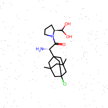 CC12CC3(C)CC(Cl)(C1)CC([C@H](N)C(=O)N1CCC[C@H]1C(O)O)(C2)C3